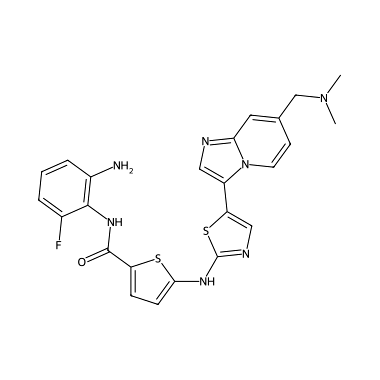 CN(C)Cc1ccn2c(-c3cnc(Nc4ccc(C(=O)Nc5c(N)cccc5F)s4)s3)cnc2c1